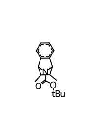 CC1C(C)C2c3ccccc3C1N2C(=O)OC(C)(C)C